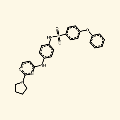 O=S(=O)(Nc1ccc(Nc2ccnc(N3CCCC3)n2)cc1)c1ccc(Oc2ccccc2)cc1